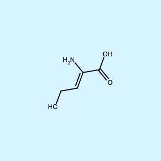 N/C(=C\CO)C(=O)O